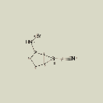 N#CB1C2CCC(NBr)C12